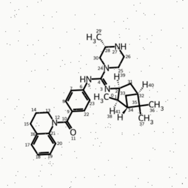 C[C@H]1[C@@H](N=C(Nc2ccc(C(=O)N3CCCc4ccccc43)cc2)N2CCN[C@@H](C)C2)C[C@@H]2C[C@@H]1C2(C)C